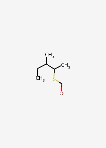 CCC(C)C(C)SC[O]